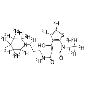 [2H]c1sc2c(c1[2H])c(O)c(C(=O)N([2H])CCC([2H])N1C([2H])([2H])C([2H])([2H])C([2H])(C)C([2H])([2H])C1([2H])[2H])c(=O)n2C([2H])(C)C([2H])([2H])[2H]